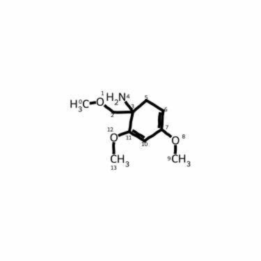 COCC1(N)CC=C(OC)C=C1OC